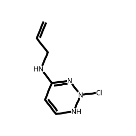 C=CCNC1=NN(Cl)NC=C1